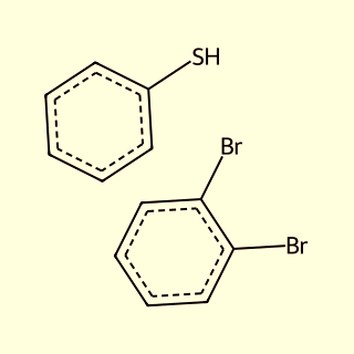 Brc1ccccc1Br.Sc1ccccc1